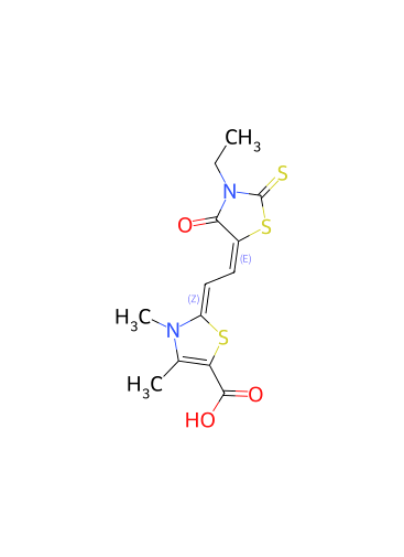 CCN1C(=O)/C(=C\C=C2/SC(C(=O)O)=C(C)N2C)SC1=S